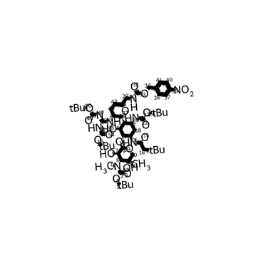 CN(C(=O)OC(C)(C)C)[C@@H]1[C@@H](O)[C@@H](O[C@H]2[C@H](NC(=O)CC(C)(C)C)C[C@H](NC(=O)OC(C)(C)C)C([C@H]3OC(CNC(=O)OCc4ccc([N+](=O)[O-])cc4)=CC[C@H]3N/C(=N/C(=O)OC(C)(C)C)NC(=O)OC(C)(C)C)[C@@H]2O)OC[C@]1(C)O